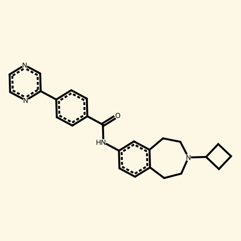 O=C(Nc1ccc2c(c1)CCN(C1CCC1)CC2)c1ccc(-c2cnccn2)cc1